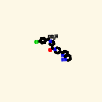 O=C(O)C(c1ccc(Cl)cc1)N1CCC(C(=O)N2CCC(c3ccc4c(n3)NCCC4)CC2)C1